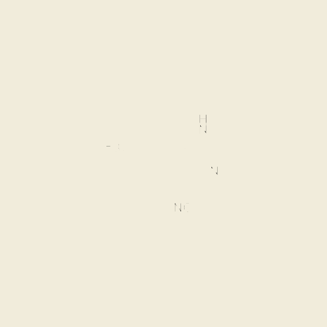 [C-]#[N+]c1cc(C(F)(F)F)cc2[nH]cnc12